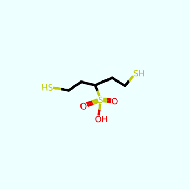 O=S(=O)(O)C(CCS)CCS